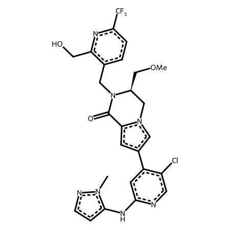 COC[C@H]1Cn2cc(-c3cc(Nc4ccnn4C)ncc3Cl)cc2C(=O)N1Cc1ccc(C(F)(F)F)nc1CO